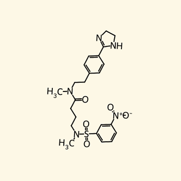 CN(CCc1ccc(C2=NCCN2)cc1)C(=O)CCCN(C)S(=O)(=O)c1cccc([N+](=O)[O-])c1